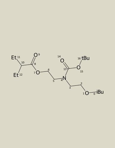 CCC(C)OCCN(CCOC(=O)C(CC)CC)C(=O)OC(C)(C)C